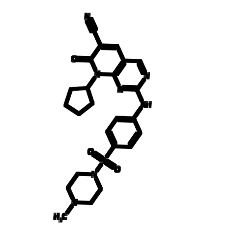 CN1CCN(S(=O)(=O)c2ccc(Nc3ncc4cc(C#N)c(=O)n(C5CCCC5)c4n3)cc2)CC1